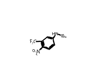 CC(C)(C)Nc1ccc([N+](=O)[O-])c(C(F)(F)F)c1